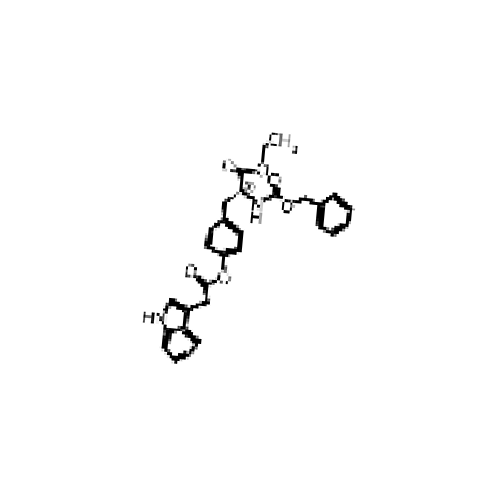 CCOC(=O)[C@H](Cc1ccc(OC(=O)Cc2c[nH]c3ccccc23)cc1)NC(=O)OCc1ccccc1